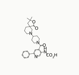 CC1(C)CC2(CCCN(C3CCN(C(=O)c4cc(-c5ccccc5)ncc4NC(=O)O)CC3)C2)C(=O)O1